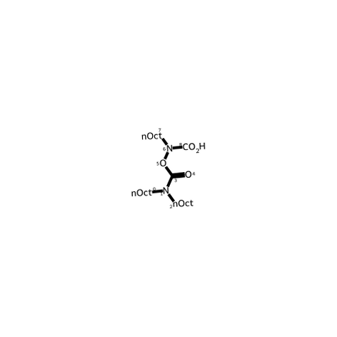 CCCCCCCCN(CCCCCCCC)C(=O)ON(CCCCCCCC)C(=O)O